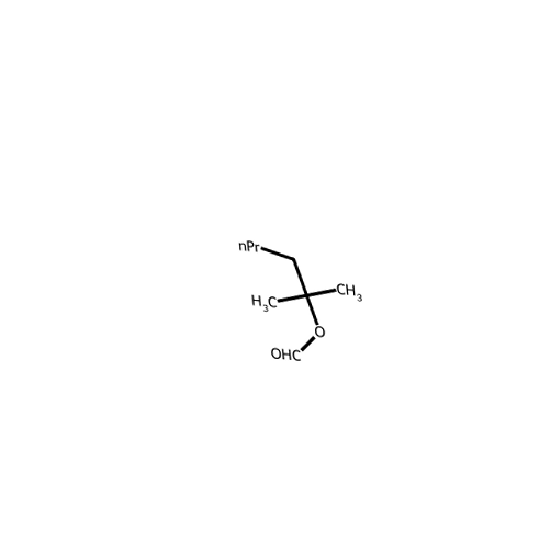 CCCCC(C)(C)OC=O